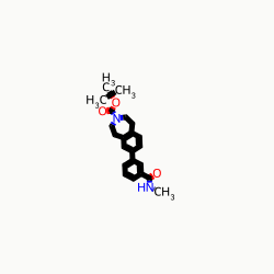 CNC(=O)c1cccc(-c2ccc3c(c2)CCN(C(=O)OC(C)(C)C)CC3)c1